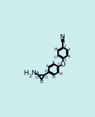 N#Cc1ccc(Oc2ccc(C3CC3N)cc2)cc1